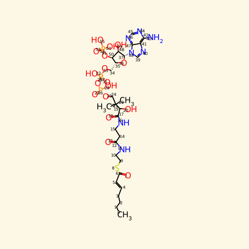 CCCCC=CC(=O)SCCNC(=O)CCNC(=O)C(O)C(C)(C)COP(=O)(O)OP(=O)(O)OC[C@H]1O[C@@H](n2cnc3c(N)ncnc32)[C@H](O)[C@@H]1OP(=O)(O)O